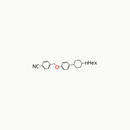 CCCCCCC1CCC(c2ccc(OCc3ccc(C#N)cc3)cc2)CC1